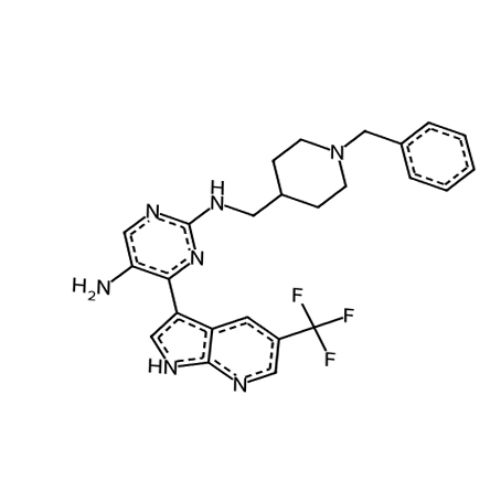 Nc1cnc(NCC2CCN(Cc3ccccc3)CC2)nc1-c1c[nH]c2ncc(C(F)(F)F)cc12